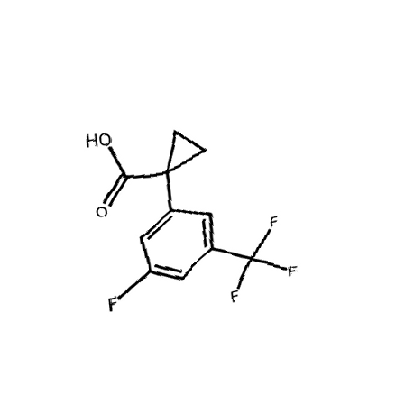 O=C(O)C1(c2cc(F)cc(C(F)(F)F)c2)CC1